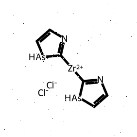 C1=C[AsH][C]([Zr+2][C]2=NC=C[AsH]2)=N1.[Cl-].[Cl-]